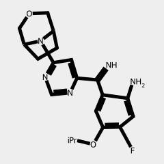 CC(C)Oc1cc(C(=N)c2cc(N3C4CCC3COC4)ncn2)c(N)cc1F